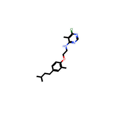 Cc1cc(CCC(C)C)ccc1OCCNc1ncnc(Cl)c1C